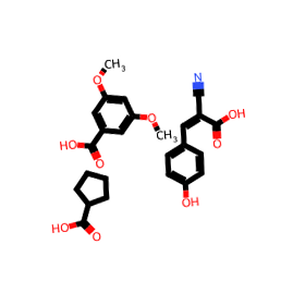 COc1cc(OC)cc(C(=O)O)c1.N#CC(=Cc1ccc(O)cc1)C(=O)O.O=C(O)C1CCCC1